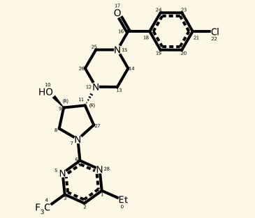 CCc1cc(C(F)(F)F)nc(N2C[C@@H](O)[C@H](N3CCN(C(=O)c4ccc(Cl)cc4)CC3)C2)n1